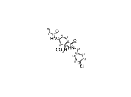 C=CC(=O)Nc1ccc(C(=O)NCc2ccc(Cl)cc2)c(C(=O)O)c1